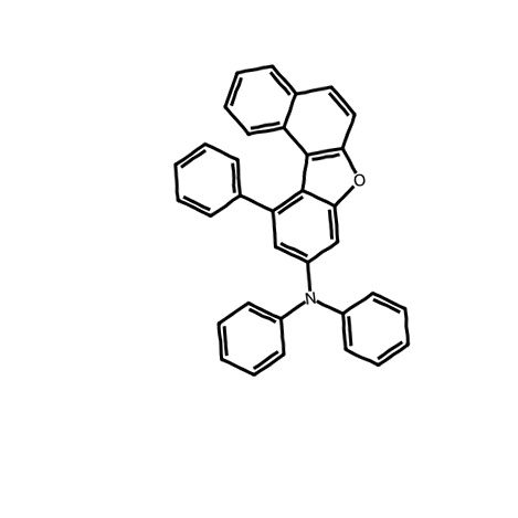 c1ccc(-c2cc(N(c3ccccc3)c3ccccc3)cc3oc4ccc5ccccc5c4c23)cc1